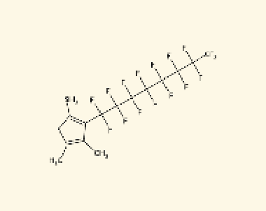 CC1=C(C)C(C(F)(F)C(F)(F)C(F)(F)C(F)(F)C(F)(F)C(F)(F)C(F)(F)C(F)(F)F)=C([SiH3])C1